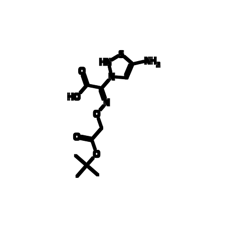 CC(C)(C)OC(=O)CON=C(C(=O)O)N1C=C(N)SN1